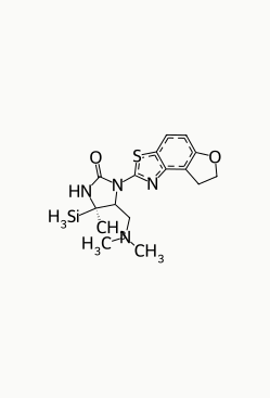 CN(C)CC1N(c2nc3c4c(ccc3s2)OCC4)C(=O)N[C@]1(C)[SiH3]